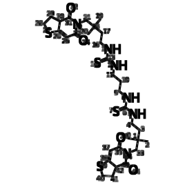 CC(C)(CCNC(=S)NCCCNC(=S)NCCC(C)(C)CN1C(=O)C=C2SCCC2C1=O)CN1C(=O)C=C2SCCC2C1=O